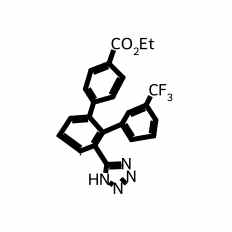 CCOC(=O)c1ccc(-c2cc[c]c(-c3nnn[nH]3)c2-c2cccc(C(F)(F)F)c2)cc1